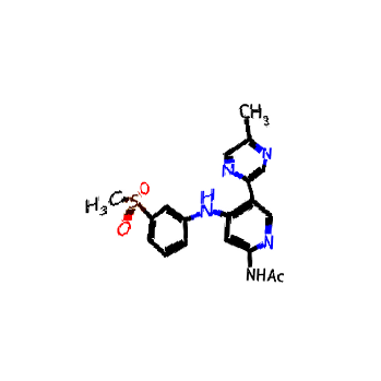 CC(=O)Nc1cc(Nc2cccc(S(C)(=O)=O)c2)c(-c2cnc(C)cn2)cn1